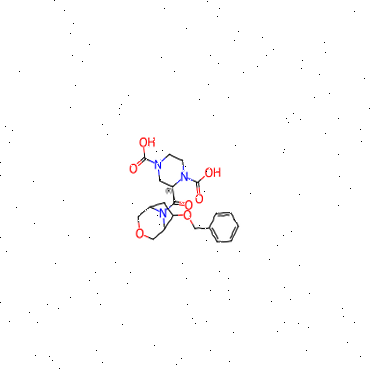 O=C(O)N1CCN(C(=O)O)[C@@H](C(=O)N2C3COCC2C(OCc2ccccc2)C3)C1